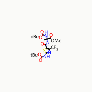 CCCCOC(=O)NC(C)(NC(=O)c1sc(NC(=O)OC(C)(C)C)nc1C(F)(F)F)C(=O)OC